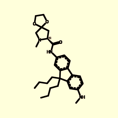 CCCCC1(CCCC)c2cc(NC)ccc2-c2ccc(NC(=O)[C@@H]3CC4(CN3C)OCCO4)cc21